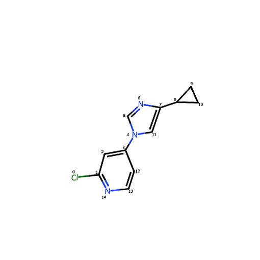 Clc1cc(-n2cnc(C3CC3)c2)ccn1